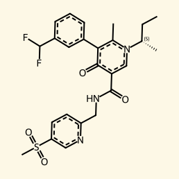 CC[C@H](C)n1cc(C(=O)NCc2ccc(S(C)(=O)=O)cn2)c(=O)c(-c2cccc(C(F)F)c2)c1C